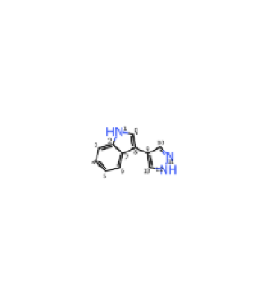 [c]1[nH]c2ccccc2c1-c1cn[nH]c1